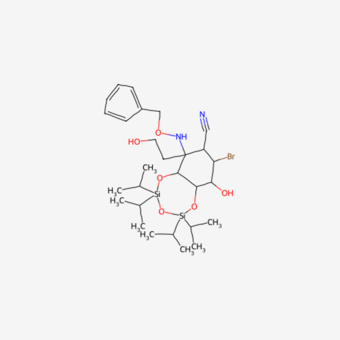 CC(C)[Si]1(C(C)C)OC2C(O)C(Br)C(C#N)C(CCO)(NOCc3ccccc3)C2O[Si](C(C)C)(C(C)C)O1